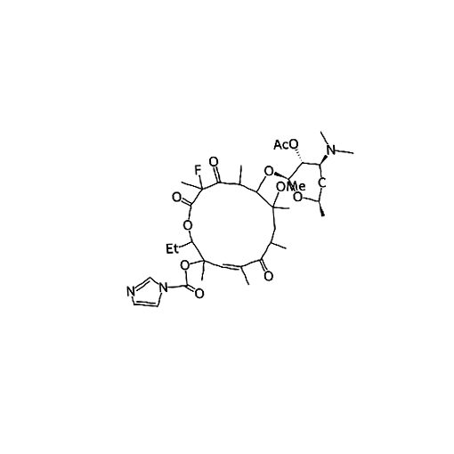 CCC1OC(=O)C(C)(F)C(=O)C(C)C(O[C@@H]2O[C@H](C)C[C@H](N(C)C)[C@H]2OC(C)=O)C(C)(OC)CC(C)C(=O)C(C)=CC1(C)OC(=O)n1ccnc1